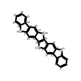 c1ccc2c(c1)sc1cc3c(cc12)sc1c2cc4sc5ccccc5c4cc2sc31